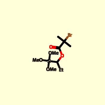 CCC(OC(=O)C(C)(C)Br)[Si](OC)(OC)OC